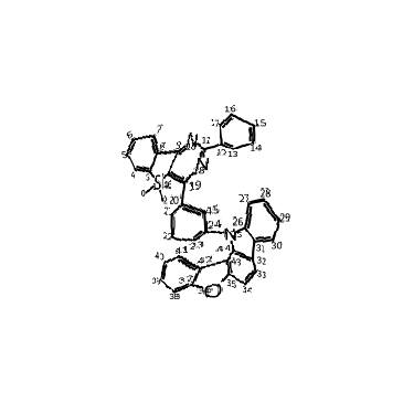 C[Si]1(C)c2ccccc2-c2nc(-c3ccccc3)nc(-c3cccc(-n4c5ccccc5c5ccc6oc7ccccc7c6c54)c3)c21